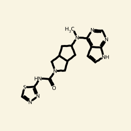 CN(c1ncnc2[nH]ccc12)C1CC2CN(C(=O)Nc3nncs3)CC2C1